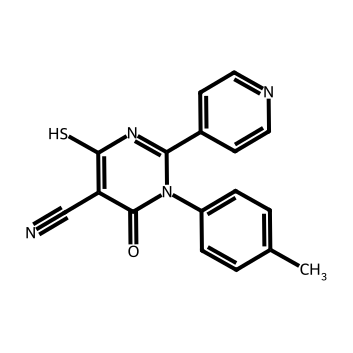 Cc1ccc(-n2c(-c3ccncc3)nc(S)c(C#N)c2=O)cc1